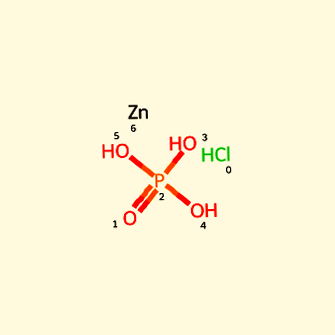 Cl.O=P(O)(O)O.[Zn]